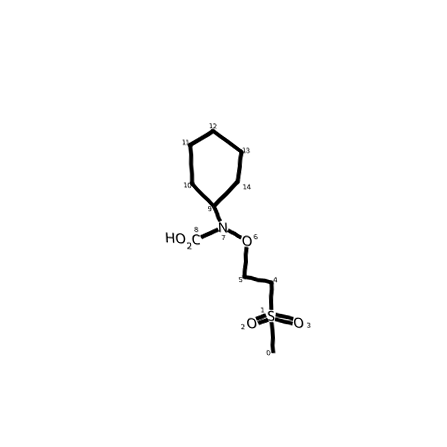 CS(=O)(=O)CCON(C(=O)O)C1CCCCC1